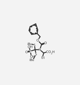 CCC(C)SC(SC(C)CC)(N(C(=O)OCc1ccccc1)C(CC)C(=O)O)P(=O)(O)O